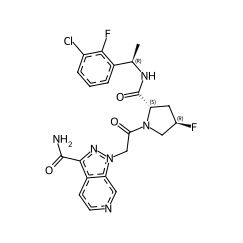 C[C@@H](NC(=O)[C@@H]1C[C@@H](F)CN1C(=O)Cn1nc(C(N)=O)c2ccncc21)c1cccc(Cl)c1F